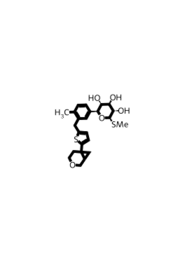 CS[C@H]1O[C@@H](c2ccc(C)c(Cc3ccc(C45CCOCC4C5)s3)c2)[C@H](O)[C@@H](O)[C@@H]1O